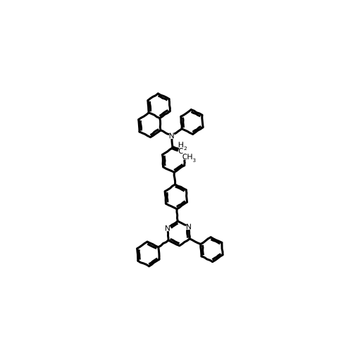 C=C(/C=C\C(=C/C)c1ccc(-c2nc(-c3ccccc3)cc(-c3ccccc3)n2)cc1)N(c1ccccc1)c1cccc2ccccc12